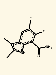 Cc1[nH]c2c(C(N)=O)c(F)c(F)cc2c1C